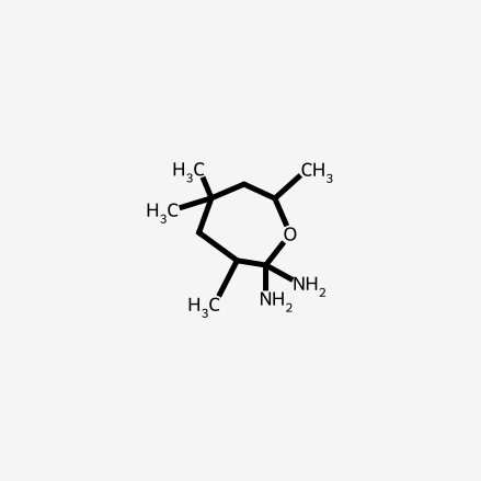 CC1CC(C)(C)CC(C)C(N)(N)O1